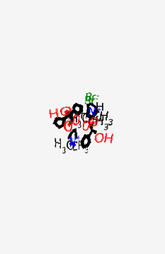 CC(C)[N+]1(C)[C@@H]2CC[C@H]1C[C@@H](OC(=O)C(CO)c1ccccc1)C2.C[N+]1(C)CCC(OC(=O)C(O)(c2ccccc2)C2CCCC2)C1.[Br-].[Br-]